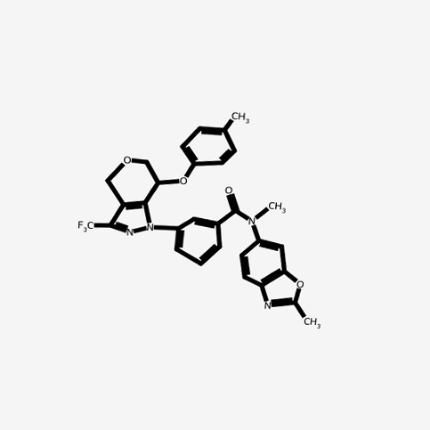 Cc1ccc(OC2COCc3c(C(F)(F)F)nn(-c4cccc(C(=O)N(C)c5ccc6nc(C)oc6c5)c4)c32)cc1